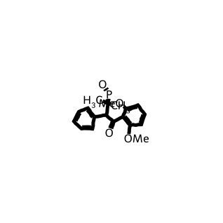 COc1cccc(OC)c1C(=O)C(c1ccccc1)C(C)(C)P=O